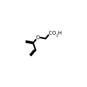 C=CC(=C)OCC(=O)O